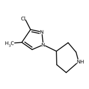 Cc1cn(C2CCNCC2)nc1Cl